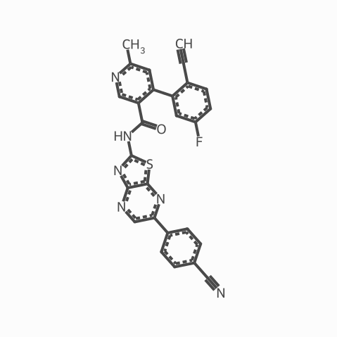 C#Cc1ccc(F)cc1-c1cc(C)ncc1C(=O)Nc1nc2ncc(-c3ccc(C#N)cc3)nc2s1